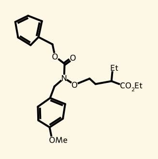 CCOC(=O)C(CC)CCON(Cc1ccc(OC)cc1)C(=O)OCc1ccccc1